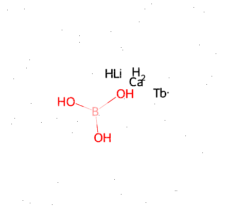 OB(O)O.[CaH2].[LiH].[Tb]